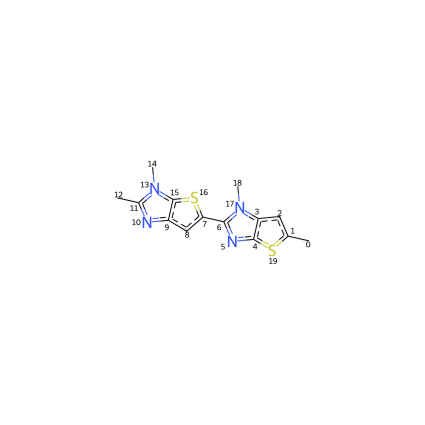 Cc1cc2c(nc(-c3cc4nc(C)n(C)c4s3)n2C)s1